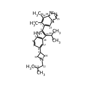 Cc1c(-c2[nH]c3ccc(C4CN(CC(C)C)C4)cc3c2C(C)C)cn2cnnc2c1C